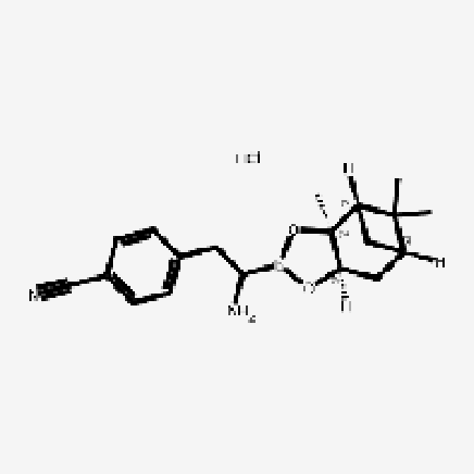 CC1(C)[C@@H]2C[C@H]3OB(C(N)Cc4ccc(C#N)cc4)O[C@@]3(C)[C@H]1C2.Cl